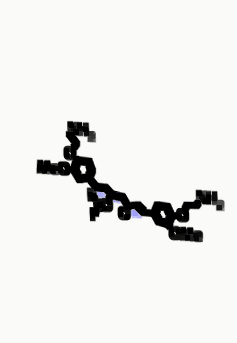 COc1cc(/C=C/C(=O)/C=C(/C=C/c2ccc(OCCN)c(OC)c2)OB(F)F)ccc1OCCN